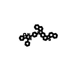 c1ccc(-c2nc(-c3ccc(-n4c5cc6ccc7sc8c9ccccc9ccc8c7c6cc5c5ccc6ccccc6c54)cc3)nc3oc4ccccc4c23)cc1